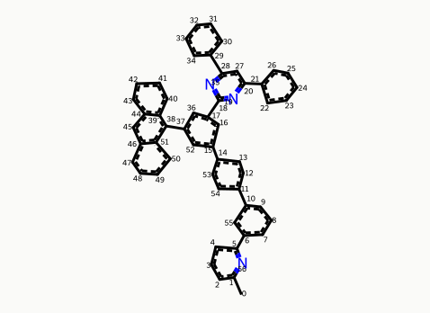 Cc1cccc(-c2cccc(-c3ccc(-c4cc(-c5nc(-c6ccccc6)cc(-c6ccccc6)n5)cc(-c5c6ccccc6cc6ccccc56)c4)cc3)c2)n1